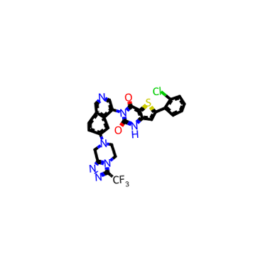 O=c1[nH]c2cc(-c3ccccc3Cl)sc2c(=O)n1-c1cncc2ccc(N3CCn4c(nnc4C(F)(F)F)C3)cc12